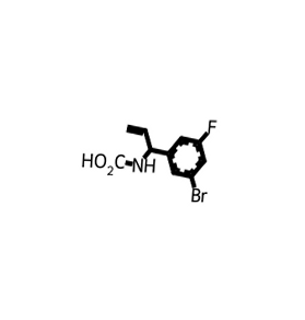 C=CC(NC(=O)O)c1cc(F)cc(Br)c1